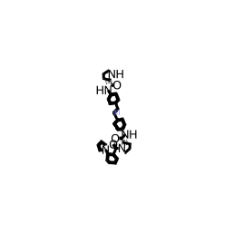 O=C(Nc1ccc(/C=C/c2ccc(NC(=O)[C@@H]3CCCN3C(=O)c3ccccc3-n3cccc3)cc2)cc1)[C@@H]1CCCN1